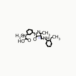 CCc1ccccc1N/C=C1/C(=O)N(c2cccc(N(C)C(=O)O)c2)N=C1C